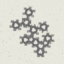 c1ccc(-c2cc(-c3nc(-c4ccccc4)nc(-c4ccccc4)n3)cc(-n3c4ccccc4c4cc5c6ccccc6c6cc7ccccc7n6c5cc43)c2)cc1